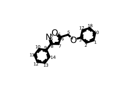 [c]1ccc(OCc2cc(-c3ccccc3)no2)cc1